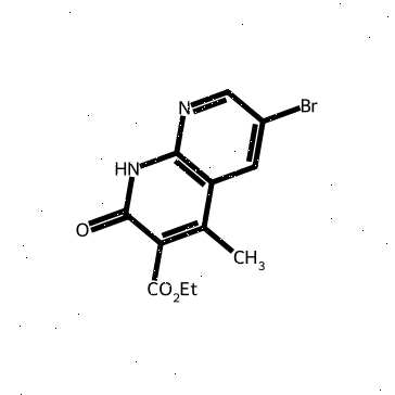 CCOC(=O)c1c(C)c2cc(Br)cnc2[nH]c1=O